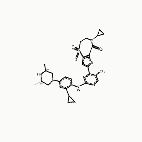 C[C@H]1CN(c2ccc(Nc3ncc(C(F)(F)F)c(-c4cc5c(s4)C(=O)N(C4CC4)CCS5(=O)=O)n3)c(C3CC3)c2)C[C@H](C)N1